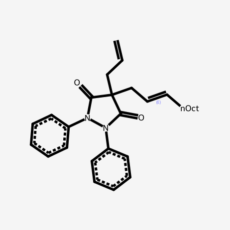 C=CCC1(C/C=C/CCCCCCCC)C(=O)N(c2ccccc2)N(c2ccccc2)C1=O